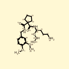 COc1ccc(CNC(=O)C2(C(=O)N[C@@H](CCCN)OBO)CCCC2)cc1OC